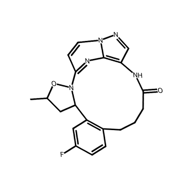 CC1CC2c3cc(F)ccc3CCCC(=O)Nc3cnn4ccc(nc34)N2O1